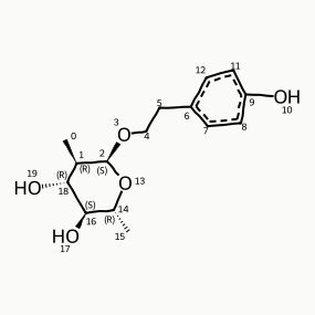 C[C@H]1[C@@H](OCCc2ccc(O)cc2)O[C@H](C)[C@@H](O)[C@@H]1O